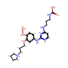 O=C(O)NCCCNc1ccnc(Nc2ccc(OO)c(OCCCN3CCCC3)c2)n1